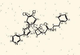 CC1(C)[C@@H](CC(=O)NCCc2ccccc2)C[C@@H]1c1cc(-c2cccnc2)nn1-c1ccc(Cl)c(Cl)c1